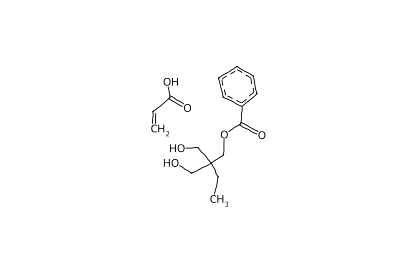 C=CC(=O)O.CCC(CO)(CO)COC(=O)c1ccccc1